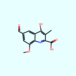 COc1cc(C=O)cc2c(O)c(C)c(C(=O)O)nc12